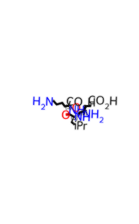 CC(C)C[C@H](NC(=O)[C@@H](N)CCC(=O)O)C(=O)N[C@@H](CCCCN)C(=O)O